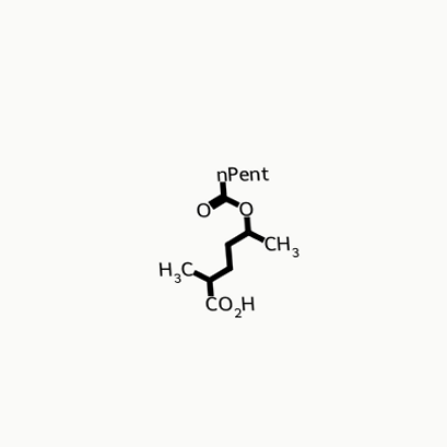 CCCCCC(=O)OC(C)CCC(C)C(=O)O